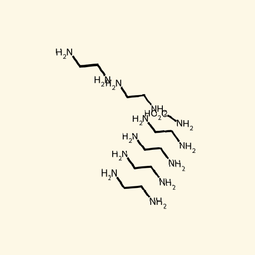 NC(=O)O.NCCN.NCCN.NCCN.NCCN.NCCN.NCCN